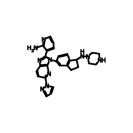 Nc1ncccc1-c1nc2ccc(-n3cccn3)nc2n1-c1ccc2c(c1)CCC2NN1CCNCC1